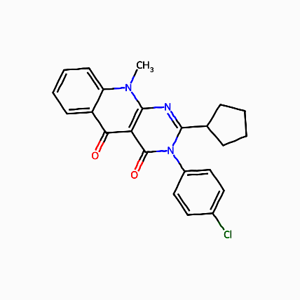 Cn1c2ccccc2c(=O)c2c(=O)n(-c3ccc(Cl)cc3)c(C3CCCC3)nc21